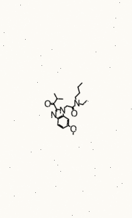 CCCCN(CC)C(=O)Cn1c(C(=O)C(C)C)nc2ccc(OC)cc21